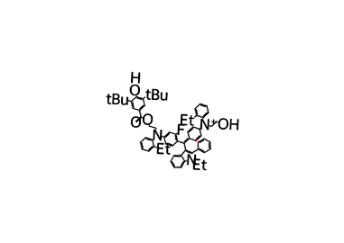 CCc1ccccc1N(CCOC(=O)c1cc(C(C)(C)C)c(O)c(C(C)(C)C)c1)c1ccc(C(=C2C=CC(=[N+](CCO)c3ccccc3CC)C=C2)c2c(-c3ccccc3)n(CC)c3ccccc23)c(F)c1